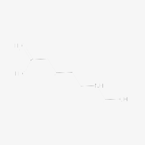 C=C(C)CCCCNCC